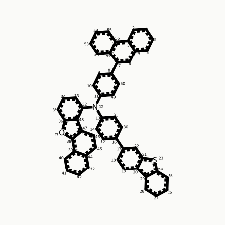 c1ccc2c(c1)cc(-c1ccc(N(c3ccc(-c4ccc5c(c4)sc4ccccc45)cc3)c3cccc4oc5c6ccccc6ccc5c34)cc1)c1ccccc12